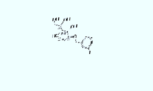 O=C[C@H](OCc1cccc(I)c1)[C@@H](O)[C@H](O)[C@H](O)CO